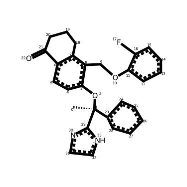 C[C@](Oc1ccc2c(c1COc1ccccc1F)CCCC2=O)(c1ccccc1)c1ncc[nH]1